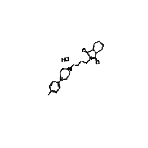 Cc1ccc(N2CCN(CCCCN3C(=O)C4CCCCC4C3=O)CC2)cc1.Cl